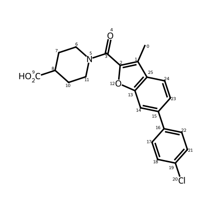 Cc1c(C(=O)N2CCC(C(=O)O)CC2)oc2cc(-c3ccc(Cl)cc3)ccc12